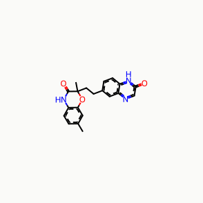 Cc1ccc2c(c1)OC(C)(CCc1ccc3[nH]c(=O)cnc3c1)C(=O)N2